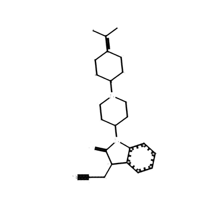 CC(C)=C1CCC(N2CCC(N3C(=O)C(CC#N)c4ccccc43)CC2)CC1